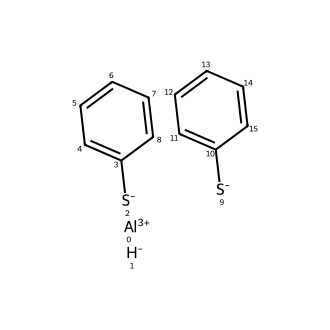 [Al+3].[H-].[S-]c1ccccc1.[S-]c1ccccc1